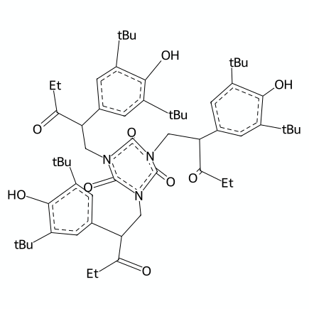 CCC(=O)C(Cn1c(=O)n(CC(C(=O)CC)c2cc(C(C)(C)C)c(O)c(C(C)(C)C)c2)c(=O)n(CC(C(=O)CC)c2cc(C(C)(C)C)c(O)c(C(C)(C)C)c2)c1=O)c1cc(C(C)(C)C)c(O)c(C(C)(C)C)c1